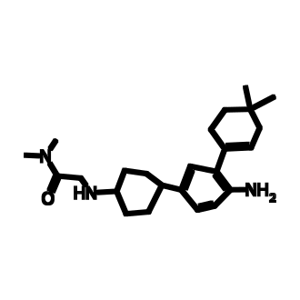 CN(C)C(=O)CNC1CCC(c2ccc(N)c(C3=CCC(C)(C)CC3)c2)CC1